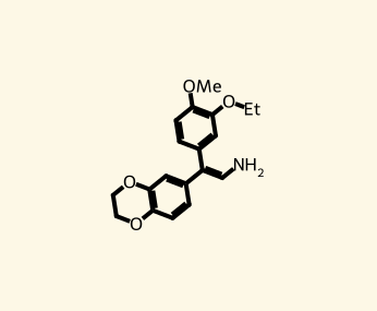 CCOc1cc(C(=CN)c2ccc3c(c2)OCCO3)ccc1OC